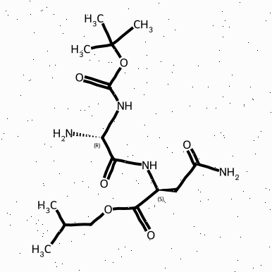 CC(C)COC(=O)[C@H](CC(N)=O)NC(=O)[C@H](N)NC(=O)OC(C)(C)C